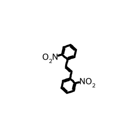 O=[N+]([O-])c1ccccc1C=Cc1ccccc1[N+](=O)[O-]